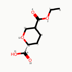 CCOC(=O)C1CC[C@H](C(=O)O)OC1